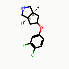 Fc1cc(OC2C[C@H]3CNC[C@H]3C2)ccc1Cl